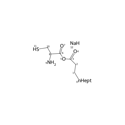 CCCCCCCCCC(=O)OC(=O)C(N)CS.[NaH]